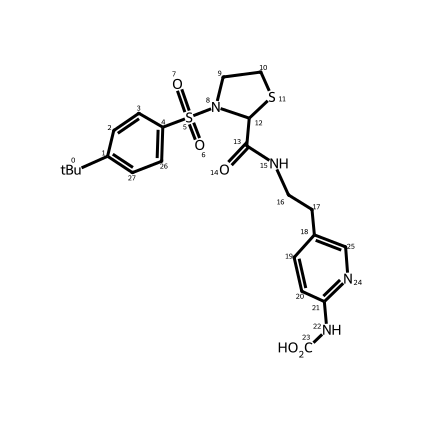 CC(C)(C)c1ccc(S(=O)(=O)N2CCSC2C(=O)NCCc2ccc(NC(=O)O)nc2)cc1